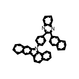 c1ccc2cc(-c3nc4ccccc4nc3-c3ccc(-n4c5cc6ccccc6cc5c5ccc6ccccc6c54)cc3)ccc2c1